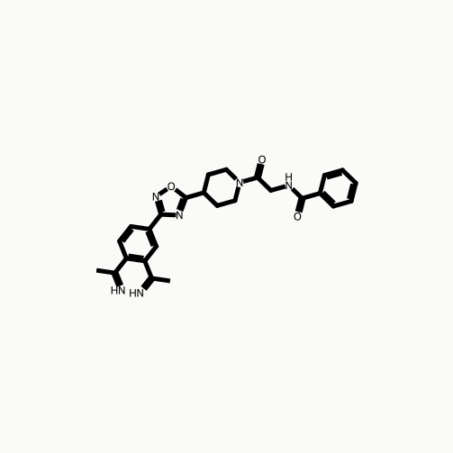 CC(=N)c1ccc(-c2noc(C3CCN(C(=O)CNC(=O)c4ccccc4)CC3)n2)cc1C(C)=N